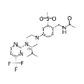 CC(=O)NCc1ccc(N2CCN(c3nccc(C(F)(F)F)n3)[C@H](C(C)C)C2)cc1S(C)(=O)=O